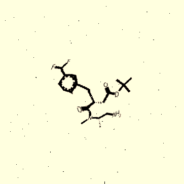 C[C@@H](CN)N(C)C(=O)[C@@H](CC(=O)OC(C)(C)C)Cc1cccc(C(F)F)c1